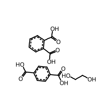 O=C(O)c1ccc(C(=O)O)cc1.O=C(O)c1ccccc1C(=O)O.OCCO